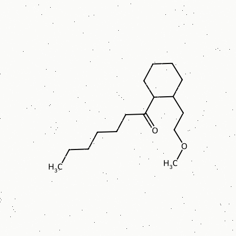 CCCCCCC(=O)C1CCCCC1CCOC